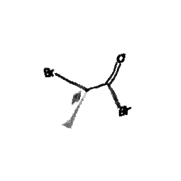 C[C@H](Br)C(=O)Br